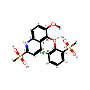 COc1ccc2nc(S(C)(=O)=O)ccc2c1Oc1c(F)cccc1S(C)(=O)=O